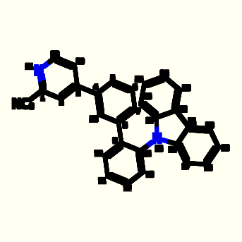 N#Cc1cc(-c2cccc(-c3ccccc3-n3c4ccccc4c4ccccc43)c2)ccn1